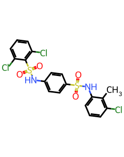 Cc1c(Cl)cccc1NS(=O)(=O)c1ccc(NS(=O)(=O)c2c(Cl)cccc2Cl)cc1